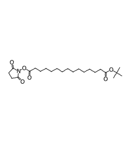 CC(C)(C)OC(=O)CCCCCCCCCCCCCC(=O)ON1C(=O)CCC1=O